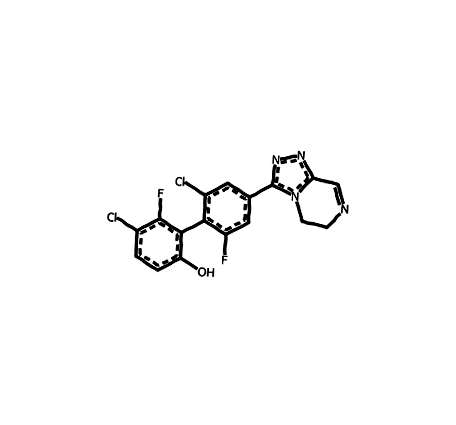 Oc1ccc(Cl)c(F)c1-c1c(F)cc(-c2nnc3n2CCN=C3)cc1Cl